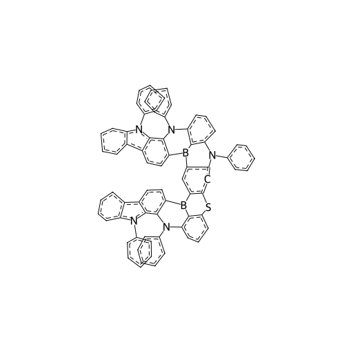 c1ccc(N2c3cc4c(cc3B3c5ccc6c7ccccc7n(-c7ccccc7)c6c5N(c5ccccc5)c5cccc2c53)B2c3ccc5c6ccccc6n(-c6ccccc6)c5c3N(c3ccccc3)c3cccc(c32)S4)cc1